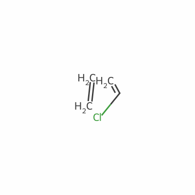 C=C.C=CCl